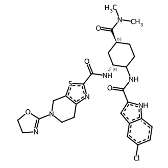 CN(C)C(=O)[C@H]1CCC(NC(=O)c2cc3cc(Cl)ccc3[nH]2)[C@H](NC(=O)c2nc3c(s2)CN(C2=NCCO2)CC3)C1